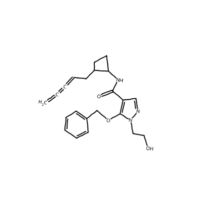 C=C=C=CCC1CCC1NC(=O)c1cnn(CCO)c1OCc1ccccc1